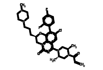 C=CC(=O)N1C[C@H](C)N(c2nc(=O)n3c4c(c(-c5ccc(F)cc5F)c(Cl)cc24)O[C@H](CCCN2CCN(C)CC2)C3)C[C@H]1C